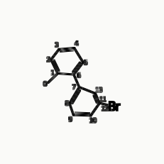 Cc1ccccc1-c1cccc(Br)c1